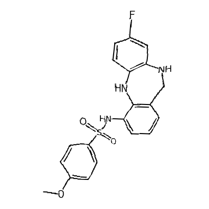 COc1ccc(S(=O)(=O)Nc2cccc3c2Nc2ccc(F)cc2NC3)cc1